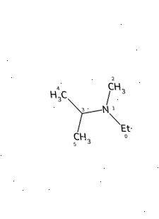 C[CH]N(C)C(C)C